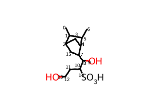 CC1C2CC(C1C)C(C(O)C(CCO)S(=O)(=O)O)C2